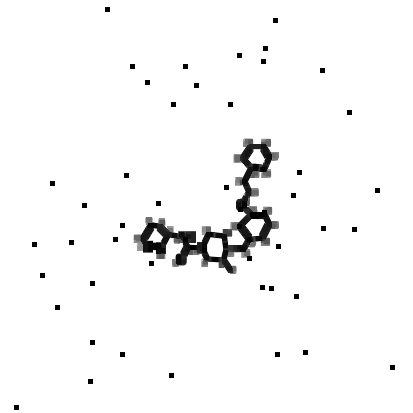 CC1CN(C(=O)Nc2cccnn2)CCC1=Cc1cccc(OCCc2ccccc2)c1